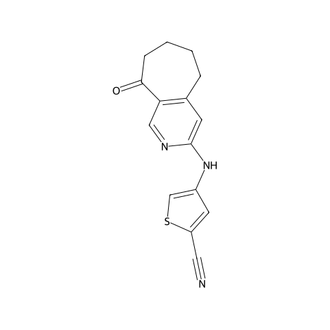 N#Cc1cc(Nc2cc3c(cn2)C(=O)CCCC3)cs1